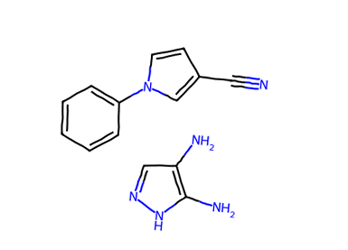 N#Cc1ccn(-c2ccccc2)c1.Nc1cn[nH]c1N